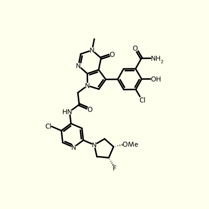 CO[C@H]1CN(c2cc(NC(=O)Cn3cc(-c4cc(Cl)c(O)c(C(N)=O)c4)c4c(=O)n(C)cnc43)c(Cl)cn2)C[C@H]1F